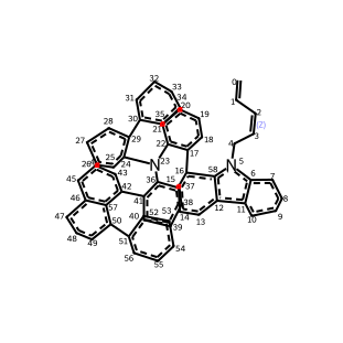 C=C/C=C\Cn1c2ccccc2c2cccc(-c3ccccc3N(c3ccccc3-c3ccccc3)c3ccccc3-c3cccc4cccc(-c5ccccc5)c34)c21